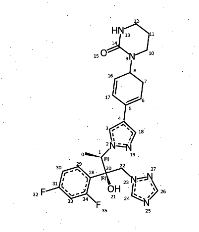 C[C@@H](n1cc(C2=CCC(N3CCCNC3=O)C=C2)cn1)[C@](O)(Cn1cncn1)c1ccc(F)cc1F